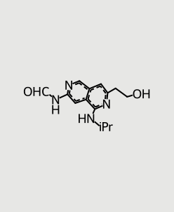 CC(C)Nc1nc(CCO)cc2cnc(NC=O)cc12